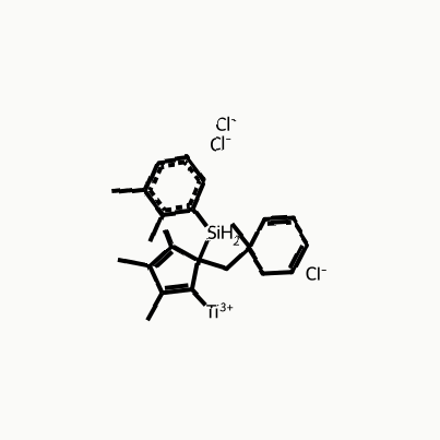 CC1=C(C)C(CC2(C)C=CC=CC2)([SiH2]c2cccc(C)c2C)[C]([Ti+3])=C1C.[Cl-].[Cl-].[Cl-]